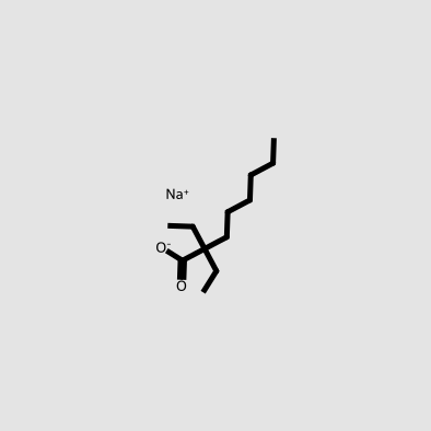 CCCCCCC(CC)(CC)C(=O)[O-].[Na+]